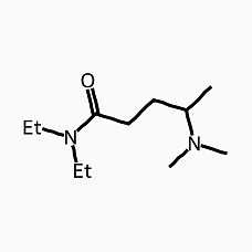 CCN(CC)C(=O)CCC(C)N(C)C